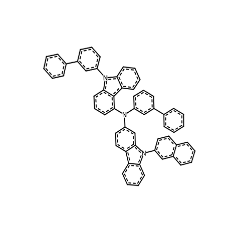 c1ccc(-c2cccc(N(c3ccc4c5ccccc5n(-c5ccc6ccccc6c5)c4c3)c3cccc4c3c3ccccc3n4-c3cccc(-c4ccccc4)c3)c2)cc1